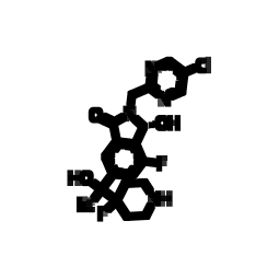 CCC(O)(c1cc(F)c2c(c1)C(=O)N(Cc1ncc(Cl)cn1)[C@@H]2O)C1(F)CCNCC1